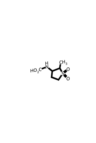 CC1C(NC(=O)O)CCS1(=O)=O